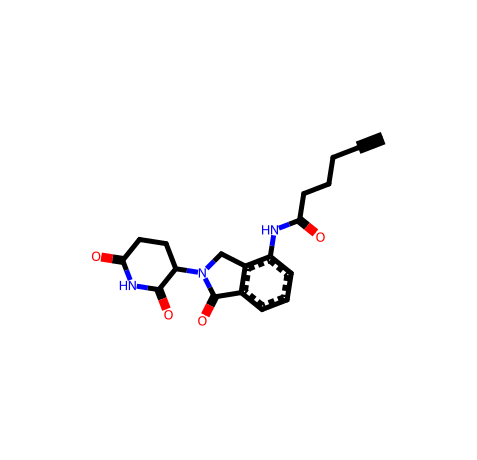 C#CCCCC(=O)Nc1cccc2c1CN(C1CCC(=O)NC1=O)C2=O